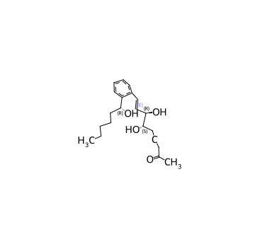 CCCCC[C@@H](O)c1ccccc1/C=C/[C@@H](O)[C@@H](O)CCCC(C)=O